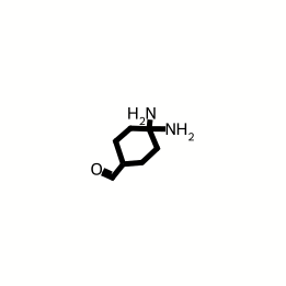 NC1(N)CCC(C=O)CC1